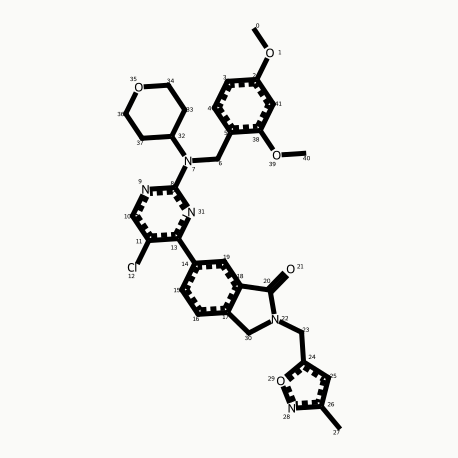 COc1ccc(CN(c2ncc(Cl)c(-c3ccc4c(c3)C(=O)N(Cc3cc(C)no3)C4)n2)C2CCOCC2)c(OC)c1